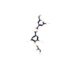 Cc1cc(-c2nc(-c3cc(C)c(OCC(O)CN)c(C)c3)no2)cc(CC(C)C)n1